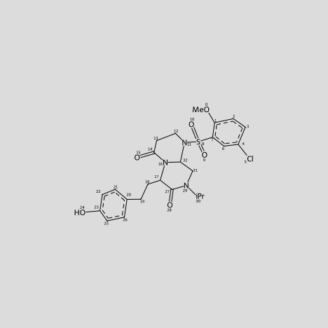 COc1ccc(Cl)cc1S(=O)(=O)N1CCC(=O)N2C(CCc3ccc(O)cc3)C(=O)N(C(C)C)CC21